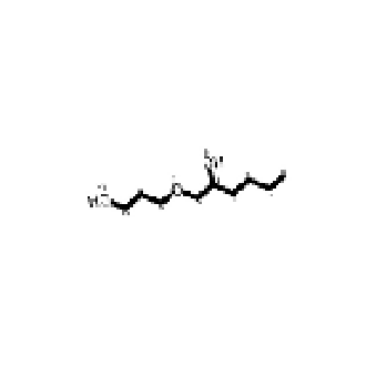 CCCCC(O)COCCCO